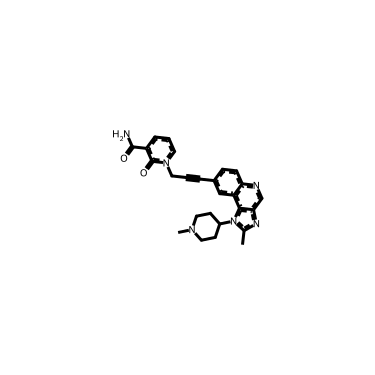 Cc1nc2cnc3ccc(C#CCn4cccc(C(N)=O)c4=O)cc3c2n1C1CCN(C)CC1